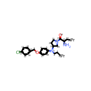 CC(C)CCN(c1ccc(OCc2ccc(Cl)cc2)cc1)C1CCN(C(=O)C(N)CC(C)C)C1